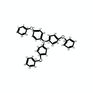 c1ccc(Oc2ccc(P(c3ccc(Oc4ccccc4)cc3)c3ccc(Oc4ccccc4)cc3)cc2)cc1